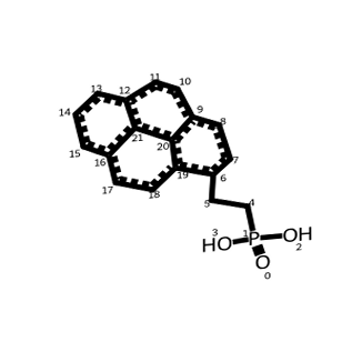 O=P(O)(O)CCc1ccc2ccc3cccc4ccc1c2c34